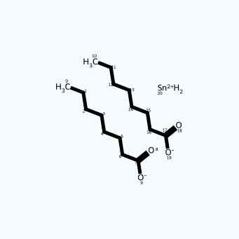 CCCCCCCC(=O)[O-].CCCCCCCC(=O)[O-].[SnH2+2]